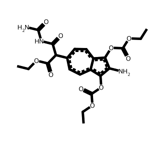 CCOC(=O)Oc1c2ccc(C(C(=O)NC(N)=O)C(=O)OCC)ccc-2c(OC(=O)OCC)c1N